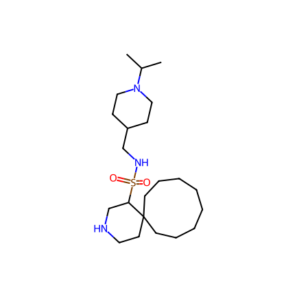 CC(C)N1CCC(CNS(=O)(=O)C2CNCCC23CCCCCCCC3)CC1